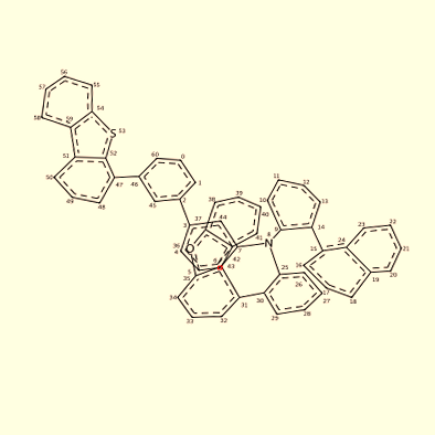 c1cc(-c2cccc(N(c3ccccc3-c3cccc4ccccc34)c3ccccc3-c3cccc4oc5ccccc5c34)c2)cc(-c2cccc3c2sc2ccccc23)c1